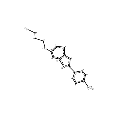 O=[N+]([O-])c1ccc(-c2cc3ccc(OCCCF)cc3s2)cc1